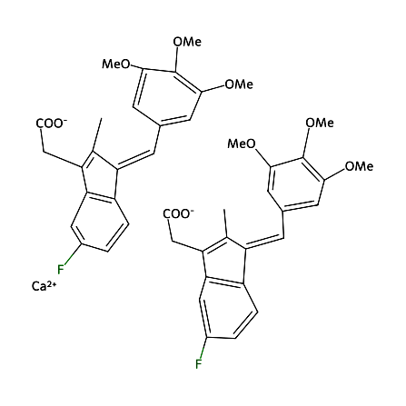 COc1cc(/C=C2\C(C)=C(CC(=O)[O-])c3cc(F)ccc32)cc(OC)c1OC.COc1cc(/C=C2\C(C)=C(CC(=O)[O-])c3cc(F)ccc32)cc(OC)c1OC.[Ca+2]